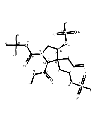 C=CC[C@]1(CCOS(C)(=O)=O)[C@H](OS(C)(=O)=O)CN(C(=O)OC(C)(C)C)[C@@H]1C(=O)OC